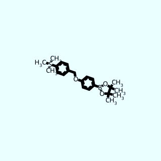 CC1(C)OB(c2ccc(OCc3ccc(S(C)(C)C)cc3)cc2)OC1(C)C